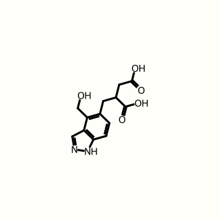 O=C(O)CC(Cc1ccc2[nH]ncc2c1CO)C(=O)O